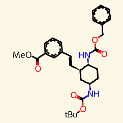 COC(=O)c1cccc(/C=C/[C@@H]2C[C@H](NC(=O)OC(C)(C)C)CC[C@@H]2NC(=O)OCc2ccccc2)c1